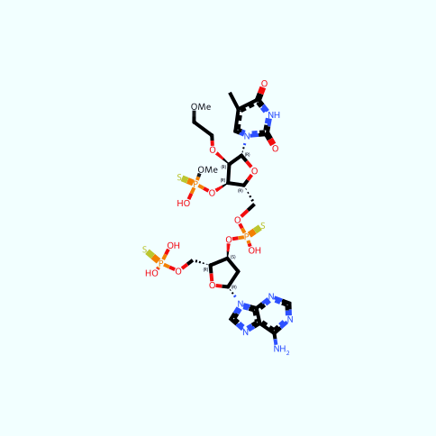 COCCO[C@@H]1[C@H](OP(O)(=S)OC)[C@@H](COP(O)(=S)O[C@H]2C[C@H](n3cnc4c(N)ncnc43)O[C@@H]2COP(O)(O)=S)O[C@H]1n1cc(C)c(=O)[nH]c1=O